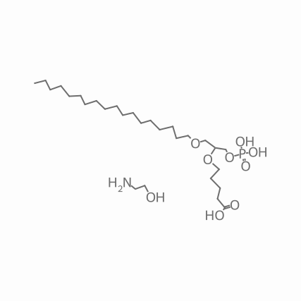 CCCCCCCCCCCCCCCCCCOCC(COP(=O)(O)O)OCCCCC(=O)O.NCCO